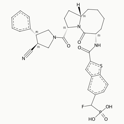 N#C[C@@H]1CN(C(=O)[C@@H]2CC[C@@H]3CCCC[C@H](NC(=O)c4cc5cc(C(F)P(=O)(O)O)ccc5s4)C(=O)N32)C[C@H]1c1ccccc1